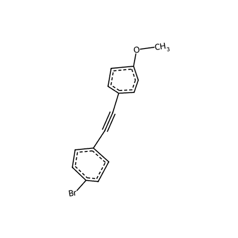 COc1ccc(C#Cc2ccc(Br)cc2)cc1